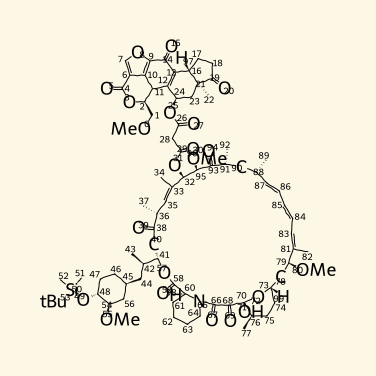 COC[C@H]1OC(=O)c2coc3c2C1C1=C(C3=O)[C@@H]2CCC(=O)[C@@]2(C)C[C@H]1OC(=O)CC(=O)O[C@@H]1/C(C)=C/[C@@H](C)C(=O)C[C@@H]([C@H](C)C[C@@H]2CC[C@@H](O[Si](C)(C)C(C)(C)C)[C@H](OC)C2)OC(=O)[C@@H]2CCCCN2C(=O)C(=O)[C@]2(O)O[C@@H](CC[C@H]2C)C[C@H](OC)/C(C)=C/C=C/C=C/[C@@H](C)C[C@@H](C)C(=O)[C@@H]1OC